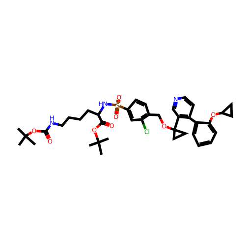 CC(C)(C)OC(=O)NCCCCC(NS(=O)(=O)c1ccc(COC2(c3cnccc3-c3ccccc3OC3CC3)CC2)c(Cl)c1)C(=O)OC(C)(C)C